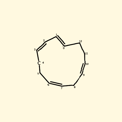 [C]1=C/C=C\CC/C=C\C/C=C\CC/1